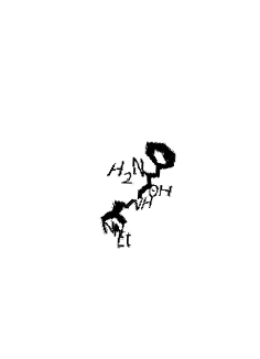 CCn1cc(CNC[C@@H](O)[C@@H](N)Cc2ccccc2)cn1